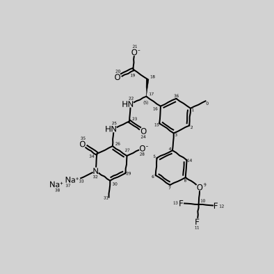 Cc1cc(-c2cccc(OC(F)(F)F)c2)cc([C@H](CC(=O)[O-])NC(=O)Nc2c([O-])cc(C)n(C)c2=O)c1.[Na+].[Na+]